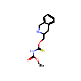 CC(C)(C)OC(=O)NC(=S)OCC1Cc2ccccc2CN1